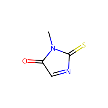 CN1C(=O)C=NC1=S